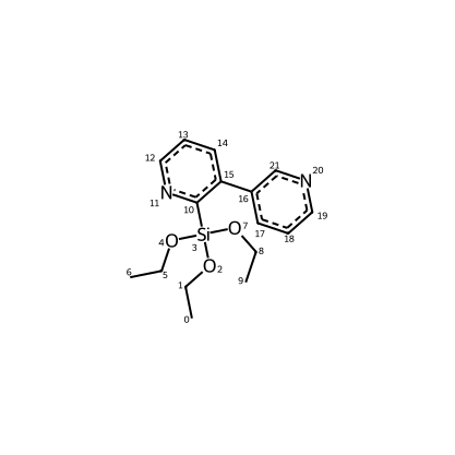 CCO[Si](OCC)(OCC)c1ncccc1-c1cccnc1